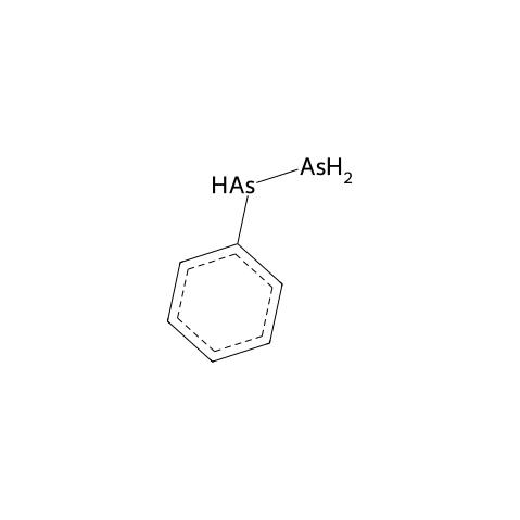 [AsH2][AsH]c1ccccc1